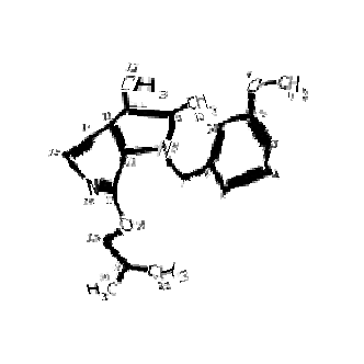 COc1cccc(Cn2c(C)c(C)c3ccnc(OCC(C)C)c32)c1